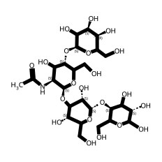 CC(=O)N[C@H]1C(O)[C@H](O[C@@H]2OC(CO)[C@H](O)[C@H](O)C2O)C(CO)O[C@H]1OC1[C@@H](O)C(CO)O[C@@H](O[C@@H]2C(CO)OC(O)[C@@H](O)C2O)[C@H]1O